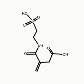 C=C(CC(=O)O)C(=O)NCCS(=O)(=O)O